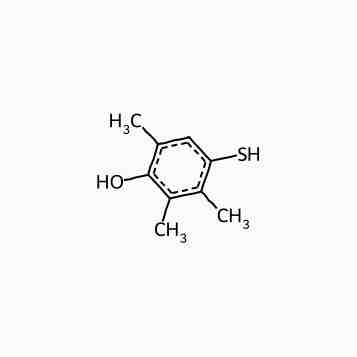 Cc1cc(S)c(C)c(C)c1O